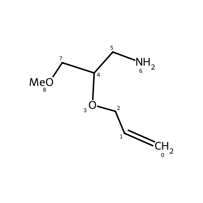 C=CCOC(CN)COC